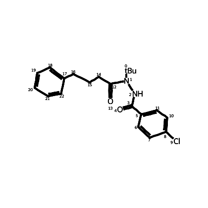 CC(C)(C)N(NC(=O)c1ccc(Cl)cc1)C(=O)CCCc1ccccc1